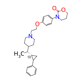 CC(C1CCN(CCOc2ccc(N3CCCOC3=O)cc2)CC1)[C@@H]1CC1c1ccccc1